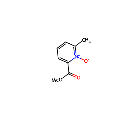 COC(=O)c1cccc(C)[n+]1[O-]